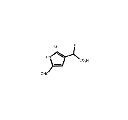 O=Cc1cc(C(F)C(=O)O)c[nH]1.[KH]